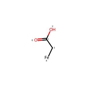 O=C(O)[CH2][Fe]